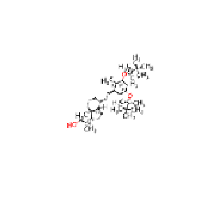 C[C@H](CO)[C@H]1CC[C@H]2C(=CC=C3C[C@@H](O[Si](C)(C)C(C)(C)C)C[C@H](O[Si](C)(C)C(C)(C)C)[C@@H]3C)CCC[C@]12C